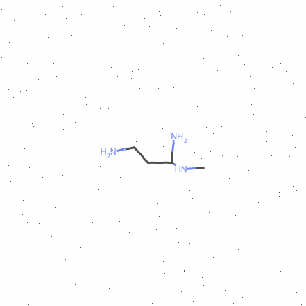 CNC(N)CCN